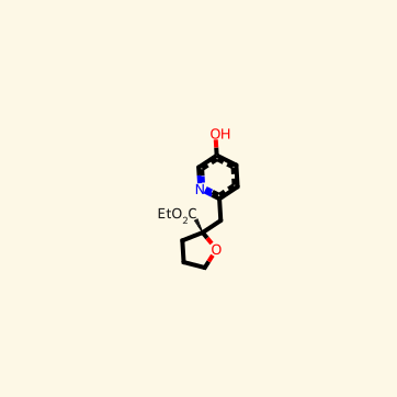 CCOC(=O)[C@]1(Cc2ccc(O)cn2)CCCO1